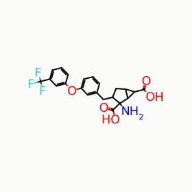 NC1(C(=O)O)C(Cc2cccc(Oc3cccc(C(F)(F)F)c3)c2)CC2C(C(=O)O)C21